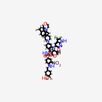 C[C@H]1C[C@]2(COCCN2C2CC3(CCN(c4ccc(C(=O)NS(=O)(=O)c5ccc(NCC6CCC(C)(O)CC6)c([N+](=O)[O-])c5)c(N5c6cc7c(F)c[nH]c7nc6O[C@H]6COCC[C@@H]65)c4)CC3)C2)c2ccccc21